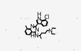 CCN(CC)CCCC(C)Nc1nc(-c2c[nH]c3c(Cl)cccc23)nc2c(C)cccc12